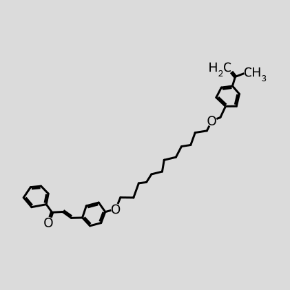 C=C(C)c1ccc(COCCCCCCCCCCCCOc2ccc(C=CC(=O)c3ccccc3)cc2)cc1